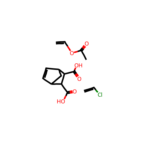 C=CCl.C=COC(C)=O.O=C(O)C1C2C=CC(C2)C1C(=O)O